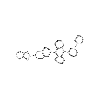 C1=CC(c2cc3ccccc3o2)Cc2ccc(-c3c4ccccc4c(-c4cccc(-c5ccccc5)c4)c4ccccc34)cc21